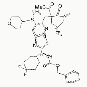 COC(=O)C1(Cc2nn3cc([C@@H](NC(=O)OCc4ccccc4)C4CCC(F)(F)CC4)nc3cc2N(C)C2CCOCC2)C[C@@H](C(F)(F)F)CNC1=O